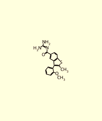 COc1ccccc1-c1c(C)sc2ccc(C(=O)N=C(N)N)cc12